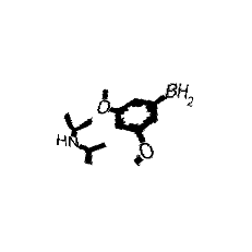 Bc1cc(OC)cc(OC)c1.CC(C)NC(C)C